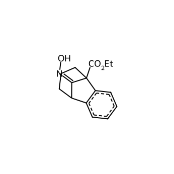 CCOC(=O)C12CCCC(C1=NO)c1ccccc12